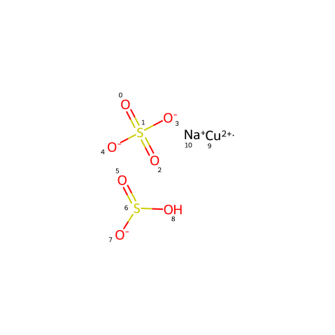 O=S(=O)([O-])[O-].O=S([O-])O.[Cu+2].[Na+]